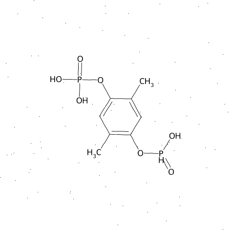 Cc1cc(OP(=O)(O)O)c(C)cc1O[PH](=O)O